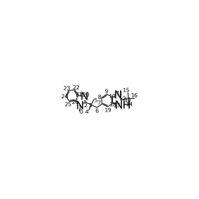 Cn1c(C(C)(C)Cc2ccc3nc(C(C)(C)C)[nH]c3c2)nc2ccccc21